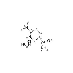 CN(C)c1ccc(C(N)=O)cn1.Cl.Cl